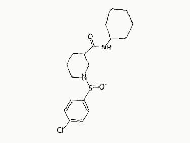 O=C(NC1CCCCC1)C1CCCN([S+]([O-])c2ccc(Cl)cc2)C1